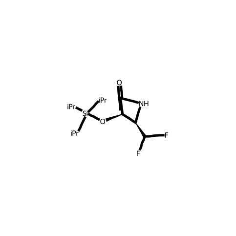 CC(C)[Si](O[C@H]1C(=O)N[C@H]1C(F)F)(C(C)C)C(C)C